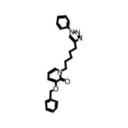 O=c1c(OCc2ccccc2)cccn1CCCCCc1cn(-c2ccccc2)nn1